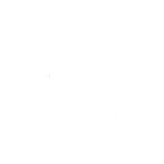 C=C/C=C\C1=C(C=C)OC(C)(C)CCO1